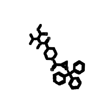 COC(=O)C(C(C)C)N(C)C(=O)C1CCN(C(=O)C2C[N@@]2C(c2ccccc2)(c2ccccc2)c2ccccc2)CC1